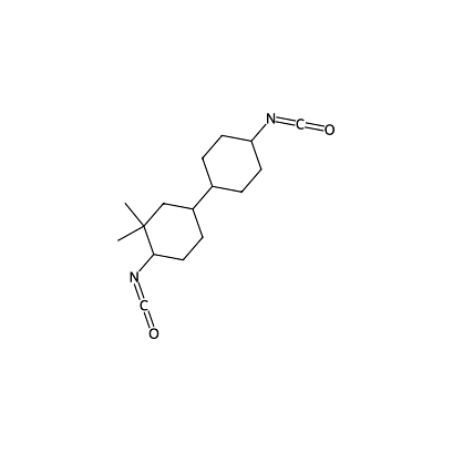 CC1(C)CC(C2CCC(N=C=O)CC2)CCC1N=C=O